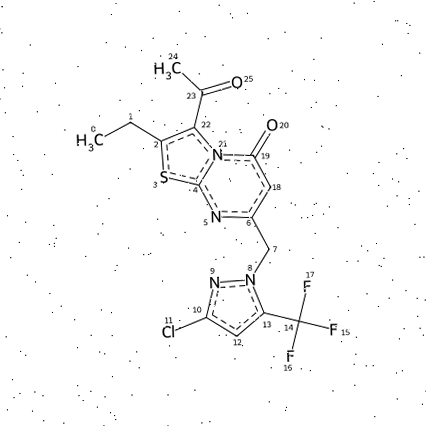 CCc1sc2nc(Cn3nc(Cl)cc3C(F)(F)F)cc(=O)n2c1C(C)=O